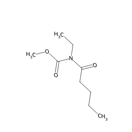 CCCCC(=O)N(CC)C(=O)OC